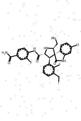 CC(C)(C)C[C@@H]1N[C@@H](C(=O)Nc2ccc(C(N)=O)cc2F)[C@H](c2cccc(CI)c2F)[C@]12C(=O)Nc1cc(Cl)ccc12